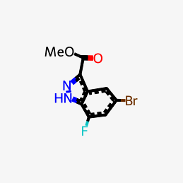 COC(=O)c1n[nH]c2c(F)cc(Br)cc12